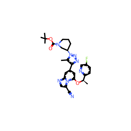 Cc1c(-c2cc(O[C@H](C)c3ccc(F)cn3)n3c(C#N)cnc3c2)nnn1[C@@H]1CCCN(C(=O)OC(C)(C)C)C1